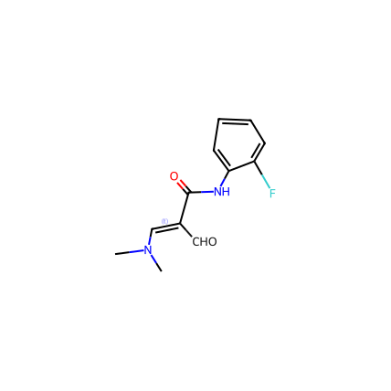 CN(C)/C=C(\C=O)C(=O)Nc1ccccc1F